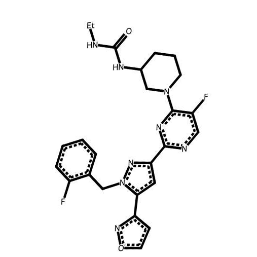 CCNC(=O)NC1CCCN(c2nc(-c3cc(-c4ccon4)n(Cc4ccccc4F)n3)ncc2F)C1